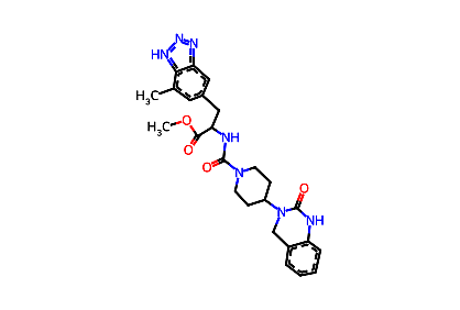 COC(=O)C(Cc1cc(C)c2[nH]nnc2c1)NC(=O)N1CCC(N2Cc3ccccc3NC2=O)CC1